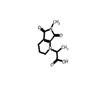 CC(C(=O)O)N1CCCC2=C1C(=O)N(C)C2=O